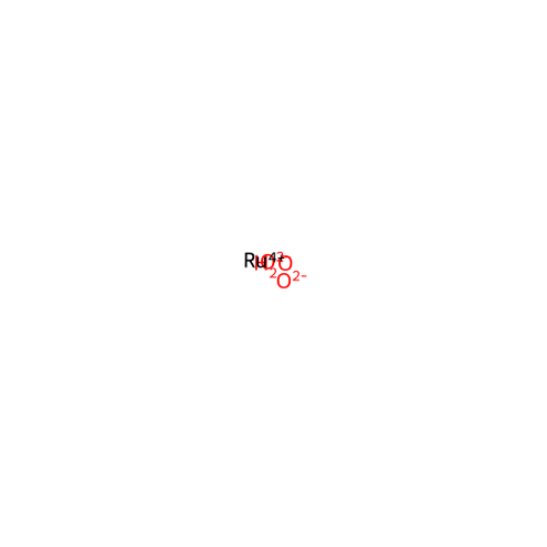 O.[O-2].[O-2].[Ru+4]